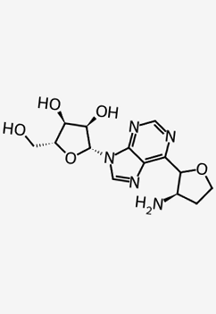 N[C@@H]1CCOC1c1ncnc2c1ncn2[C@@H]1O[C@H](CO)[C@@H](O)[C@H]1O